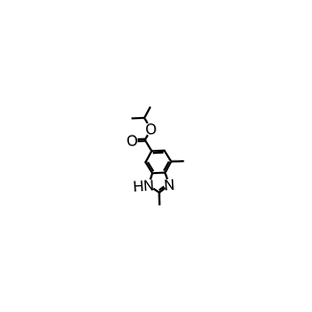 Cc1nc2c(C)cc(C(=O)OC(C)C)cc2[nH]1